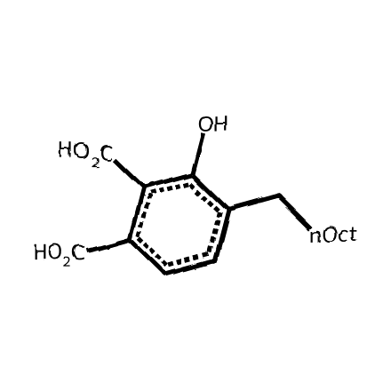 CCCCCCCCCc1ccc(C(=O)O)c(C(=O)O)c1O